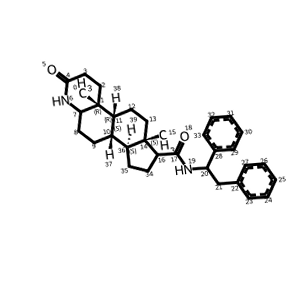 C[C@]12CCC(=O)NC1CC[C@@H]1[C@H]2CC[C@]2(C)C(C(=O)NC(Cc3ccccc3)c3ccccc3)CC[C@@H]12